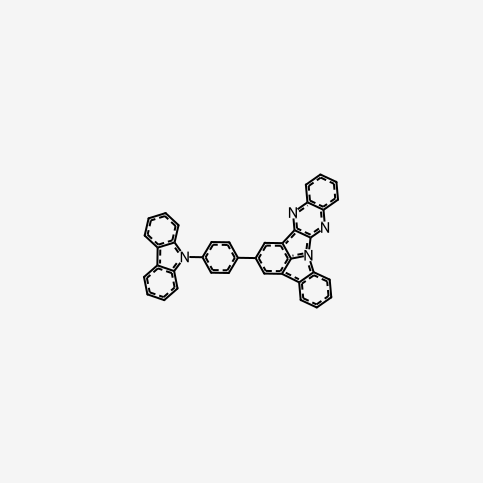 c1ccc2nc3c(nc2c1)c1cc(-c2ccc(-n4c5ccccc5c5ccccc54)cc2)cc2c4ccccc4n3c21